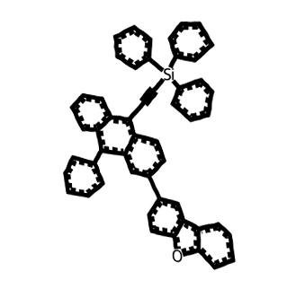 C(#C[Si](c1ccccc1)(c1ccccc1)c1ccccc1)c1c2ccccc2c(-c2ccccc2)c2cc(-c3ccc4oc5ccccc5c4c3)ccc12